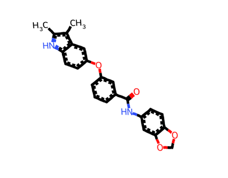 Cc1[nH]c2ccc(Oc3cccc(C(=O)Nc4ccc5c(c4)OCO5)c3)cc2c1C